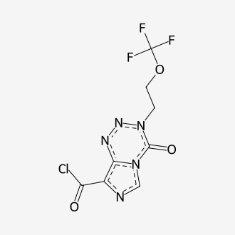 O=C(Cl)c1ncn2c(=O)n(CCOC(F)(F)F)nnc12